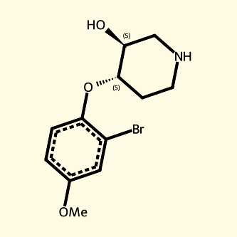 COc1ccc(O[C@H]2CCNC[C@@H]2O)c(Br)c1